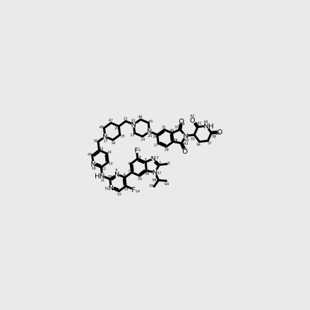 Cc1nc2c(F)cc(-c3nc(Nc4ccc(CN5CCC(CN6CCN(c7ccc8c(c7)C(=O)N(C7CCC(=O)NC7=O)C8=O)CC6)CC5)cn4)ncc3F)cc2n1C(C)C